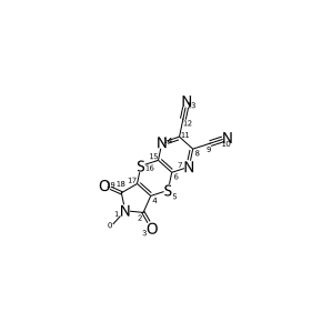 Cn1c(=O)c2sc3nc(C#N)c(C#N)nc3sc=2c1=O